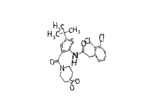 CC(C)(C)c1cc(C(=O)N2CCS(=O)(=O)CC2)c(NC(=O)Cc2cccc(Cl)c2Cl)s1